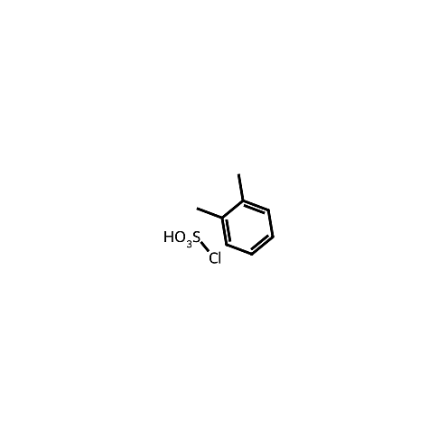 Cc1ccccc1C.O=S(=O)(O)Cl